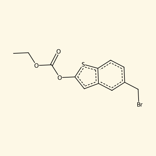 CCOC(=O)Oc1cc2cc(CBr)ccc2s1